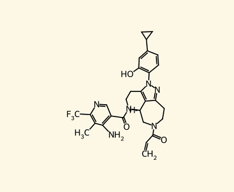 C=CC(=O)N1CCc2nn(-c3ccc(C4CC4)cc3O)c3c2[C@H](C1)N(C(=O)c1cnc(C(F)(F)F)c(C)c1N)CC3